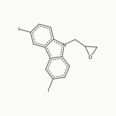 Ic1ccc2c(c1)c1cc(I)ccc1n2CC1CO1